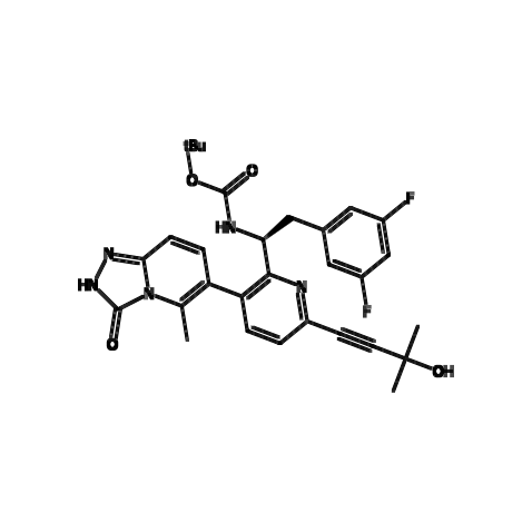 Cc1c(-c2ccc(C#CC(C)(C)O)nc2[C@H](Cc2cc(F)cc(F)c2)NC(=O)OC(C)(C)C)ccc2n[nH]c(=O)n12